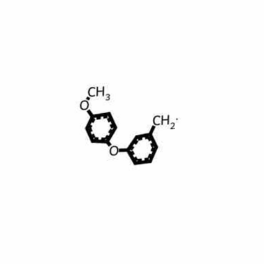 [CH2]c1cccc(Oc2ccc(OC)cc2)c1